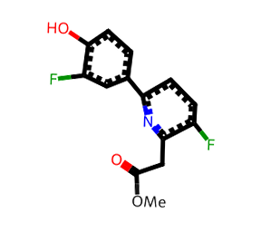 COC(=O)Cc1nc(-c2ccc(O)c(F)c2)ccc1F